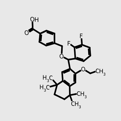 CCOc1cc2c(cc1C(OCc1ccc(C(=O)O)cc1)c1cccc(F)c1F)C(C)(C)CCC2(C)C